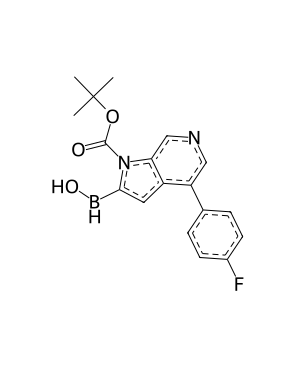 CC(C)(C)OC(=O)n1c(BO)cc2c(-c3ccc(F)cc3)cncc21